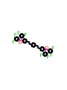 O=P(c1ccc(/C=C/c2ccc(/C=C/c3ccc(P(=O)(c4cc(F)cc(F)c4)c4cc(F)cc(F)c4)cc3)cc2)cc1)(c1cc(F)cc(F)c1)c1cc(F)cc(F)c1